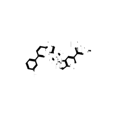 CN/C=C(\C=N)c1cnc2cnn(S(=O)(=O)c3cnc4ccc(-c5cccc(F)c5)cn34)c2c1